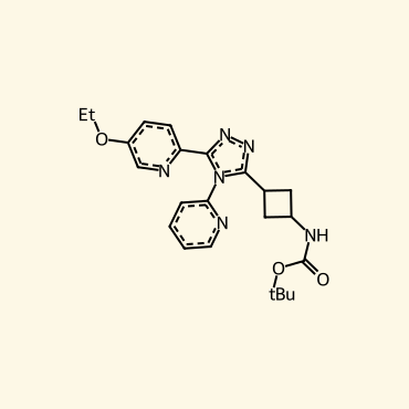 CCOc1ccc(-c2nnc(C3CC(NC(=O)OC(C)(C)C)C3)n2-c2ccccn2)nc1